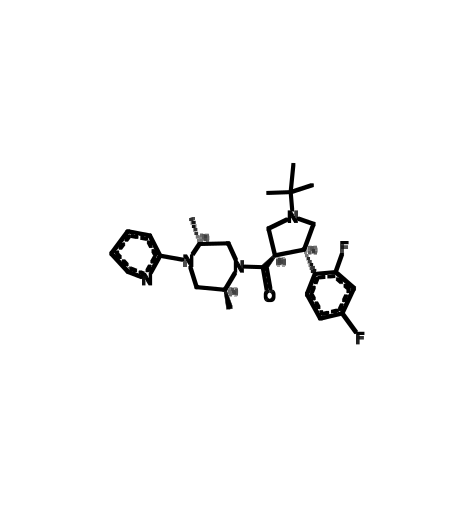 C[C@@H]1CN(C(=O)[C@H]2CN(C(C)(C)C)C[C@@H]2c2ccc(F)cc2F)[C@@H](C)CN1c1ccccn1